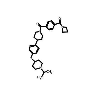 CC(C)N1CCC(Oc2ccc(C3CCN(C(=O)c4ccc(C(=O)N5CCC5)cc4)CC3)cc2)CC1